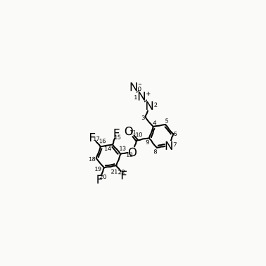 [N-]=[N+]=NCc1ccncc1C(=O)Oc1c(F)c(F)cc(F)c1F